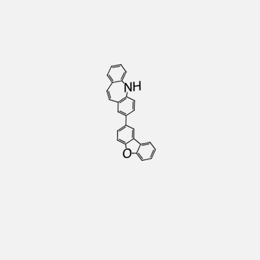 C1=Cc2cc(-c3ccc4oc5ccccc5c4c3)ccc2Nc2ccccc21